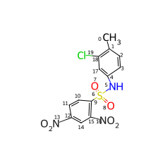 Cc1ccc(NS(=O)(=O)c2ccc([N+](=O)[O-])cc2[N+](=O)[O-])cc1Cl